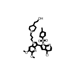 COc1cc2c(nc1OC)c(-c1cc3c(Cl)ccnc3n1S(=O)(=O)c1ccc(C)cc1)cn2CCCN1CCC(CCO)CC1